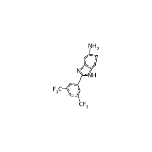 Nc1ccc2[nH]c(-c3cc(C(F)(F)F)cc(C(F)(F)F)c3)nc2c1